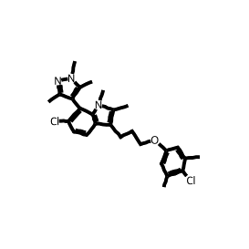 Cc1cc(OCCCc2c(C)n(C)c3c(-c4c(C)nn(C)c4C)c(Cl)ccc23)cc(C)c1Cl